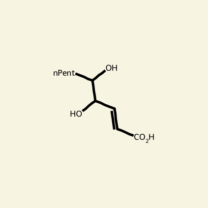 CCCCCC(O)C(O)/C=C/C(=O)O